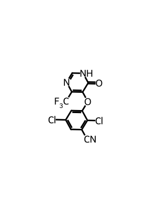 N#Cc1cc(Cl)cc(Oc2c(C(F)(F)F)nc[nH]c2=O)c1Cl